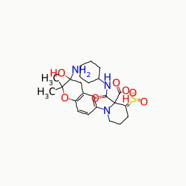 CC1(C)Oc2ccc(N3CCCC(=S(=O)=O)C3(C(=O)O)C(=O)NC3CCCCC3)cc2CC1(N)O